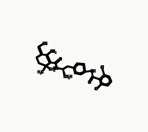 CC1=C(C(=O)N[C@@H](Cc2ccc(NC(=O)c3c(Cl)cccc3Cl)cc2)C(=O)O)C(C)(C)CCC1=CC#N